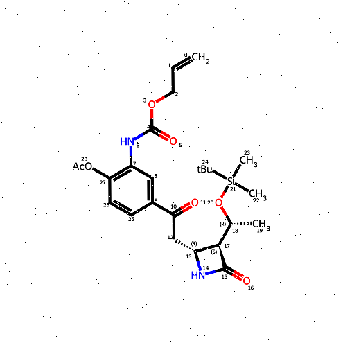 C=CCOC(=O)Nc1cc(C(=O)C[C@H]2NC(=O)[C@@H]2[C@@H](C)O[Si](C)(C)C(C)(C)C)ccc1OC(C)=O